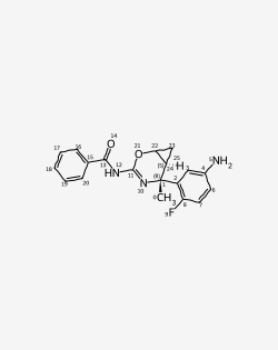 C[C@@]1(c2cc(N)ccc2F)N=C(NC(=O)c2ccccc2)OC2C[C@H]21